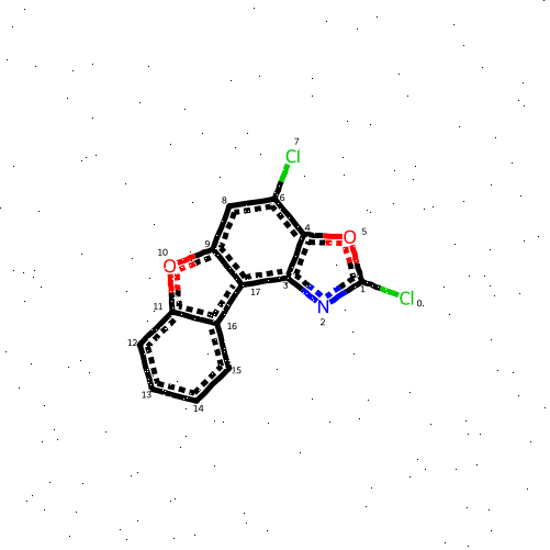 Clc1nc2c(o1)c(Cl)cc1oc3ccccc3c12